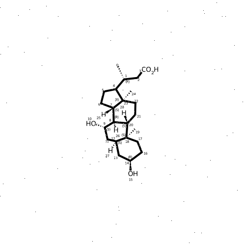 C[C@H](CC(=O)O)C1CC[C@H]2[C@@H]3[C@@H](O)C[C@@H]4C[C@H](O)CC[C@]4(C)[C@H]3CC[C@]12C